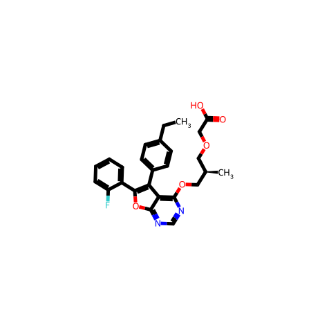 CCc1ccc(-c2c(-c3ccccc3F)oc3ncnc(OC[C@H](C)COCC(=O)O)c23)cc1